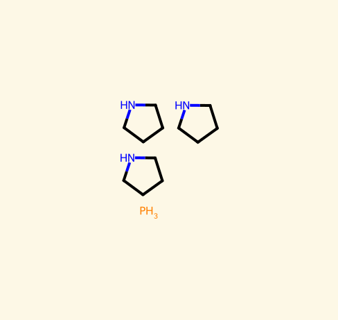 C1CCNC1.C1CCNC1.C1CCNC1.P